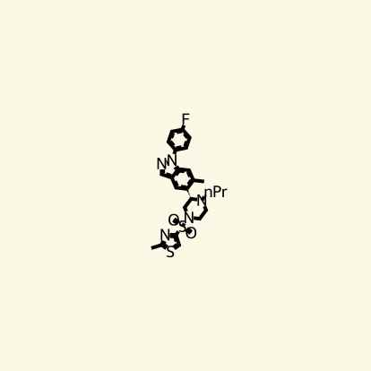 CCCN1CCN(S(=O)(=O)c2csc(C)n2)C[C@@H]1c1cc2cnn(-c3ccc(F)cc3)c2cc1C